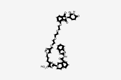 O=C1CCC(N2C(=O)c3cccc(OCCOCCOCCOCc4cn(CCCc5sc(N6CCc7cccc(C(=O)Nc8nc9ccccc9s8)c7C6)nc5C(=O)O)nn4)c3C2=O)C(=O)N1